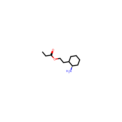 CCC(=O)OCCC1CCCC[C@H]1N